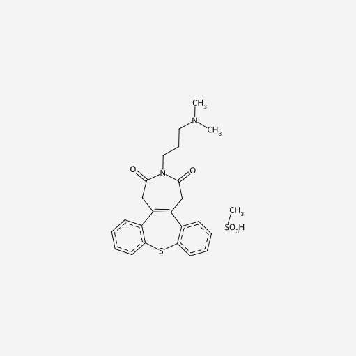 CN(C)CCCN1C(=O)CC2=C(CC1=O)c1ccccc1Sc1ccccc12.CS(=O)(=O)O